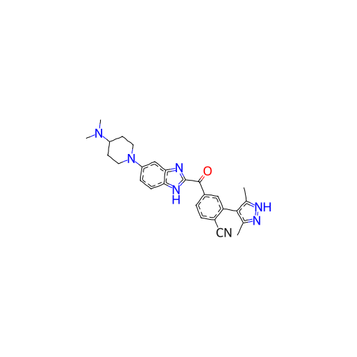 Cc1n[nH]c(C)c1-c1cc(C(=O)c2nc3cc(N4CCC(N(C)C)CC4)ccc3[nH]2)ccc1C#N